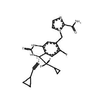 NC(=O)c1nccn1Cc1cc2c(cc1F)[C@@](C#CC1CC1)(C(F)(F)C1CC1)NC(=O)N2